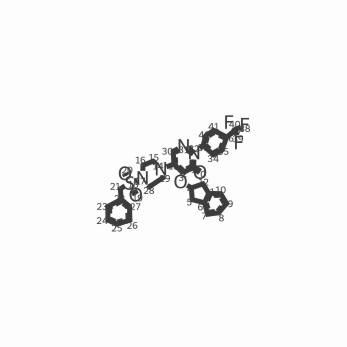 O=c1c(OC2Cc3ccccc3C2)c(N2CCN(S(=O)(=O)Cc3ccccc3)CC2)cnn1-c1ccc(C(F)(F)F)cc1